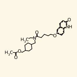 CCN(CC1CCC(COC(C)=O)CC1)C(=O)CCCCOc1ccc2[nH]c(=O)ccc2c1